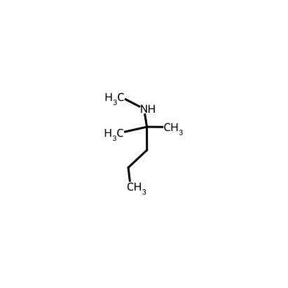 CCCC(C)(C)NC